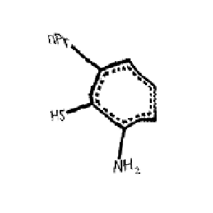 CCCc1cccc(N)c1S